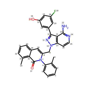 Cc1ccccc1-n1c(Cn2nc(-c3cc(O)cc(F)c3)c3c(N)nccc32)cc2cccc(C)c2c1=O